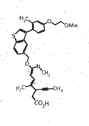 C=N/C(=C\C=C(/C)C(C#CC)CC(=O)O)OCc1ccc2scc(-c3ccc(OCCOC)cc3C)c2c1